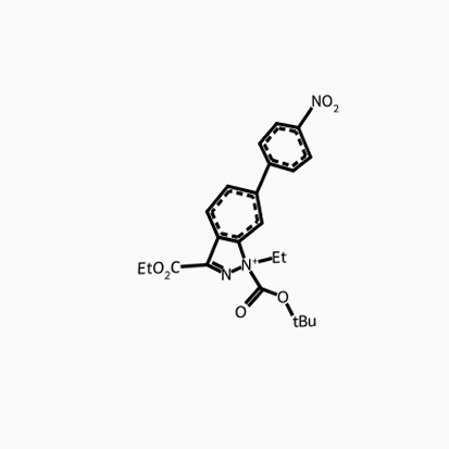 CCOC(=O)C1=N[N+](CC)(C(=O)OC(C)(C)C)c2cc(-c3ccc([N+](=O)[O-])cc3)ccc21